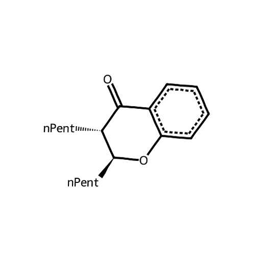 CCCCC[C@@H]1Oc2ccccc2C(=O)[C@H]1CCCCC